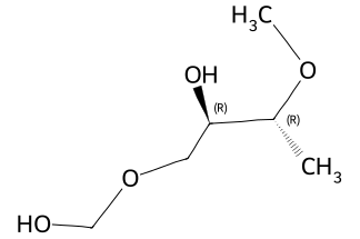 CO[C@H](C)[C@H](O)COCO